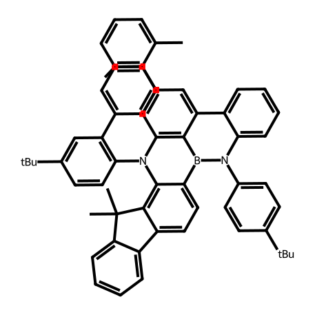 Cc1cccc(C)c1-c1cc2c3c(c1)N(c1ccc(C(C)(C)C)cc1-c1ccccc1)c1c(ccc4c1C(C)(C)c1ccccc1-4)B3N(c1ccc(C(C)(C)C)cc1)c1ccccc1-2